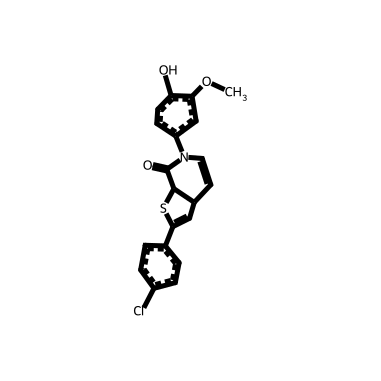 COc1cc(N2C=CC3C=C(c4ccc(Cl)cc4)SC3C2=O)ccc1O